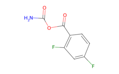 NC(=O)OC(=O)c1ccc(F)cc1F